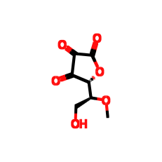 CO[C@@H](CO)[C@H]1OC(=O)C(=O)C1=O